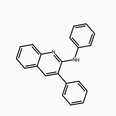 c1ccc(Nc2nc3ccccc3cc2-c2ccccc2)cc1